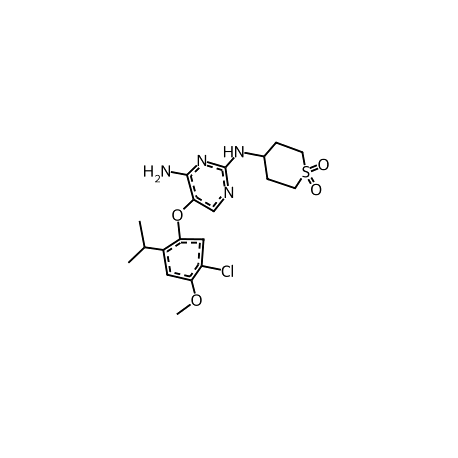 COc1cc(C(C)C)c(Oc2cnc(NC3CCS(=O)(=O)CC3)nc2N)cc1Cl